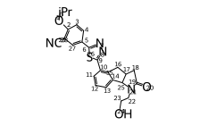 CC(C)Oc1ccc(-c2nnc(-c3cccc4c3CC3CC(=O)N(CCO)C43)s2)cc1C#N